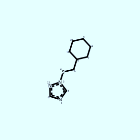 c1ncn(SCC2CCCCC2)n1